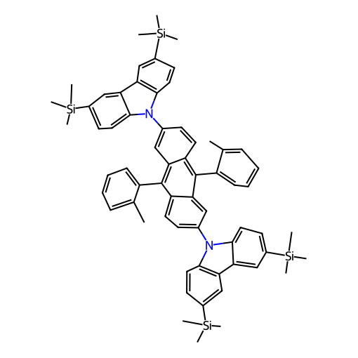 Cc1ccccc1-c1c2ccc(-n3c4ccc([Si](C)(C)C)cc4c4cc([Si](C)(C)C)ccc43)cc2c(-c2ccccc2C)c2ccc(-n3c4ccc([Si](C)(C)C)cc4c4cc([Si](C)(C)C)ccc43)cc12